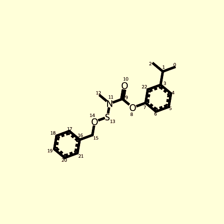 CC(C)c1cccc(OC(=O)N(C)SOCc2ccccc2)c1